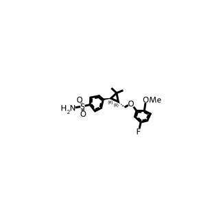 COc1ccc(F)cc1OC[C@@H]1[C@@H](c2ccc(S(N)(=O)=O)cc2)C1(C)C